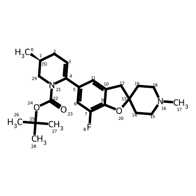 C[C@H]1CC=C(c2cc(F)c3c(c2)CC2(CCN(C)CC2)O3)N(C(=O)OC(C)(C)C)C1